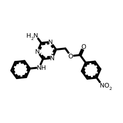 Nc1nc(COC(=O)c2ccc([N+](=O)[O-])cc2)nc(Nc2ccccc2)n1